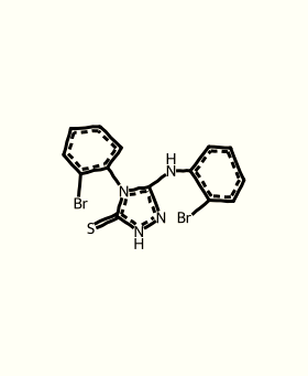 S=c1[nH]nc(Nc2ccccc2Br)n1-c1ccccc1Br